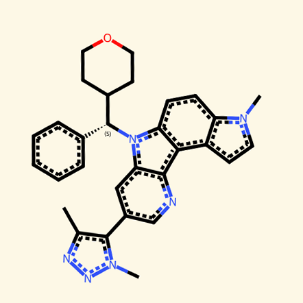 Cc1nnn(C)c1-c1cnc2c3c4ccn(C)c4ccc3n([C@H](c3ccccc3)C3CCOCC3)c2c1